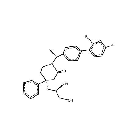 C[C@@H](c1ccc(-c2ccc(F)cc2F)cc1)N1CC[C@](C[C@@H](O)CO)(c2ccccc2)CC1=O